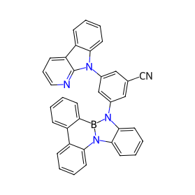 N#Cc1cc(N2B3c4ccccc4-c4ccccc4N3c3ccccc32)cc(-n2c3ccccc3c3cccnc32)c1